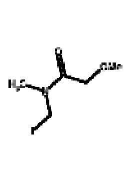 COCC(=O)N(C)CI